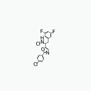 Fc1cc(F)cc(CC(NCl)c2cnc(-c3ccc(Cl)cc3)o2)c1